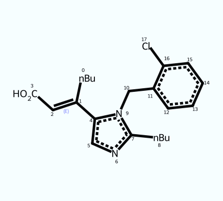 CCCC/C(=C\C(=O)O)c1cnc(CCCC)n1Cc1ccccc1Cl